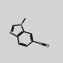 Cn1cnc2ccc(B=O)cc21